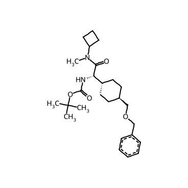 CN(C(=O)[C@@H](NC(=O)OC(C)(C)C)[C@H]1CC[C@H](COCc2ccccc2)CC1)C1CCC1